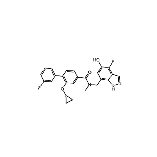 CN(Cc1cc(O)c(F)c2cn[nH]c12)C(=O)c1ccc(-c2cccc(F)c2)c(OC2CC2)c1